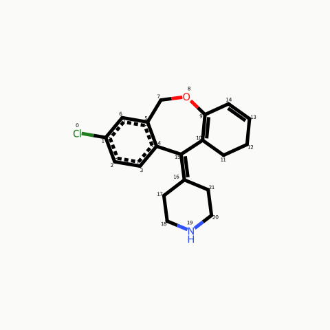 Clc1ccc2c(c1)COC1=C(CCC=C1)C2=C1CCNCC1